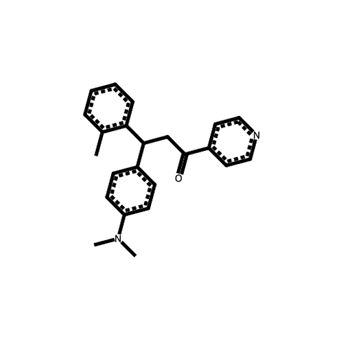 Cc1ccccc1C(CC(=O)c1ccncc1)c1ccc(N(C)C)cc1